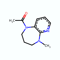 CC(=O)N1CCCN(C)c2ncccc21